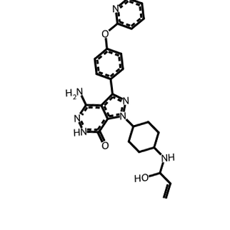 C=CC(O)NC1CCC(n2nc(-c3ccc(Oc4ccccn4)cc3)c3c(N)n[nH]c(=O)c32)CC1